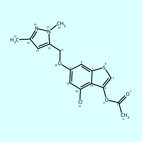 CC(=O)Oc1csc2cc(OCc3cc(C)nn3C)cc(Cl)c12